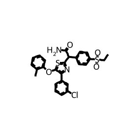 CCS(=O)(=O)c1ccc(C(C(N)=O)c2nc(-c3cccc(Cl)c3)c(Oc3ccccc3C)s2)cc1